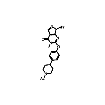 CC(=O)N1CCC(c2ccc(Oc3nc4c(cnn4C(C)C)c(=O)n3C)cc2)CC1